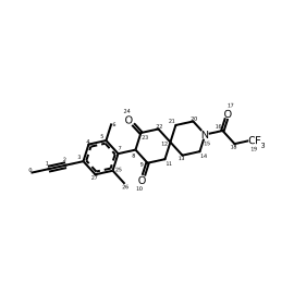 CC#Cc1cc(C)c(C2C(=O)CC3(CCN(C(=O)CC(F)(F)F)CC3)CC2=O)c(C)c1